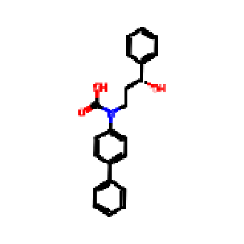 O=C(O)N(CC[C@@H](O)c1ccccc1)c1ccc(-c2ccccc2)cc1